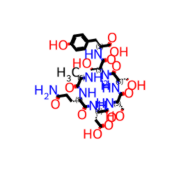 C[C@H](N)C(=O)N[C@@H](CCC(N)=O)C(=O)N[C@@H](CC(=O)O)C(=O)N[C@@H](CO)C(=O)N[C@@H](CO)C(=O)N[C@@H](CO)C(=O)N[C@@H](Cc1ccc(O)cc1)C(=O)O